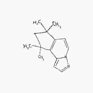 CC1(C)CC(C)(C)c2c1ccn1nccc21